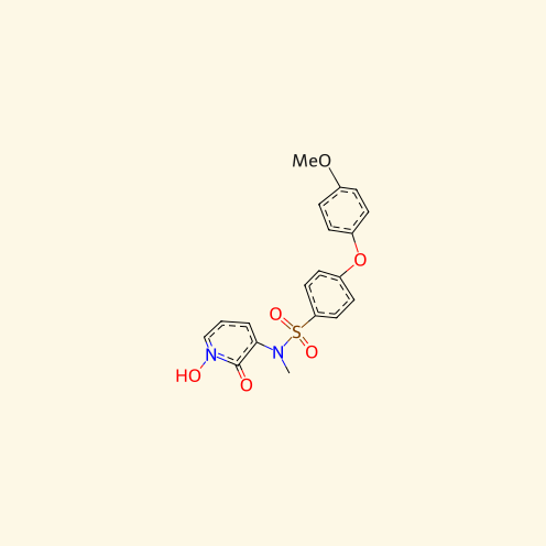 COc1ccc(Oc2ccc(S(=O)(=O)N(C)c3cccn(O)c3=O)cc2)cc1